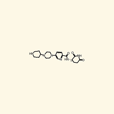 O=C1CC[C@H](NC(=O)c2ccc(N3CCN(C4CCNCC4)CC3)cn2)C(=O)N1